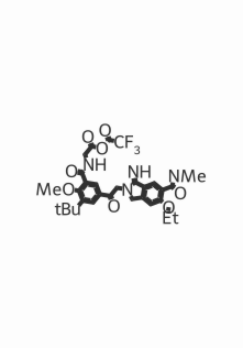 CCOc1cc2c(cc1C(=O)NC)C(=N)N(CC(=O)c1cc(C(=O)NCC(=O)OC(=O)C(F)(F)F)c(OC)c(C(C)(C)C)c1)C2